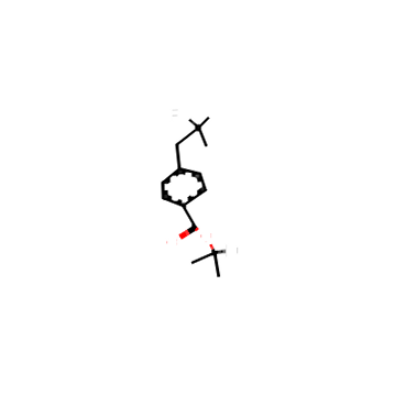 CCC(C)(C)Cc1ccc(C(=O)OC(C)(C)CC)cc1